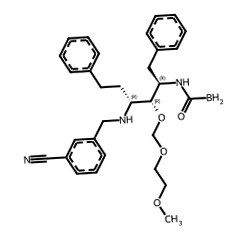 BC(=O)N[C@H](Cc1ccccc1)[C@H](OCOCCOC)[C@@H](CCc1ccccc1)NCc1cccc(C#N)c1